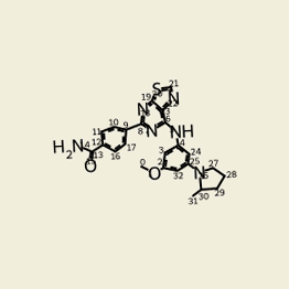 COc1cc(Nc2nc(-c3ccc(C(N)=O)cc3)nc3scnc23)cc(N2CCCC2C)c1